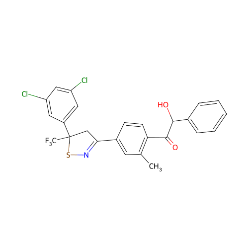 Cc1cc(C2=NSC(c3cc(Cl)cc(Cl)c3)(C(F)(F)F)C2)ccc1C(=O)C(O)c1ccccc1